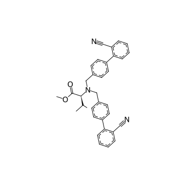 COC(=O)[C@H](C(C)C)N(Cc1ccc(-c2ccccc2C#N)cc1)Cc1ccc(-c2ccccc2C#N)cc1